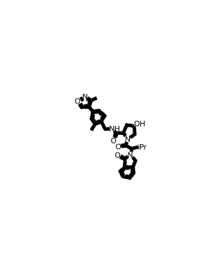 Cc1cc(-c2conc2C)ccc1CNC(=O)C1CC(O)CN1C(=O)C(C(C)C)N1Cc2ccccc2C1=O